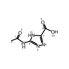 CC(=O)Nc1nnc(C(=O)O)[nH]1